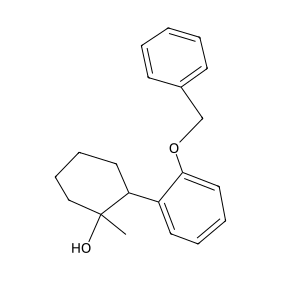 CC1(O)CCCCC1c1ccccc1OCc1ccccc1